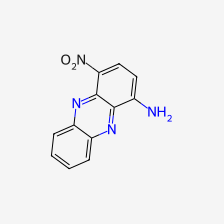 Nc1ccc([N+](=O)[O-])c2nc3ccccc3nc12